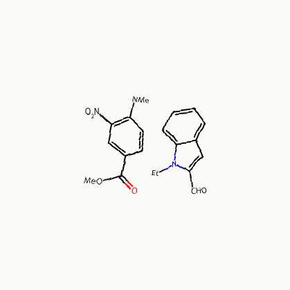 CCn1c(C=O)cc2ccccc21.CNc1ccc(C(=O)OC)cc1[N+](=O)[O-]